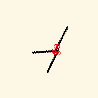 CCCCCCCCCCCCCCCCCCOC(=O)C1CCC(C(=O)OCCCCCCCCCCCCCCCCCC)C(C(=O)OCCCCCCCCCCCCCCCCCC)C1